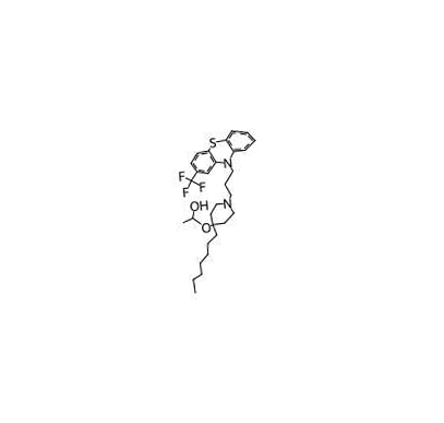 CCCCCCCC1(OC(C)O)CCN(CCCN2c3ccccc3Sc3ccc(C(F)(F)F)cc32)CC1